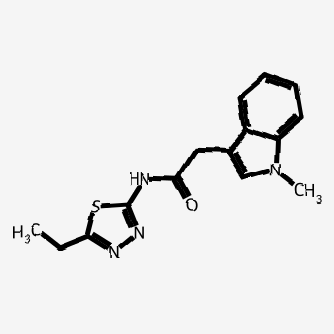 CCc1nnc(NC(=O)Cc2cn(C)c3ccccc23)s1